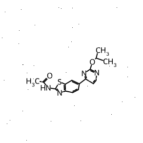 CC(=O)Nc1nc2ccc(-c3ccnc(OC(C)C)n3)cc2s1